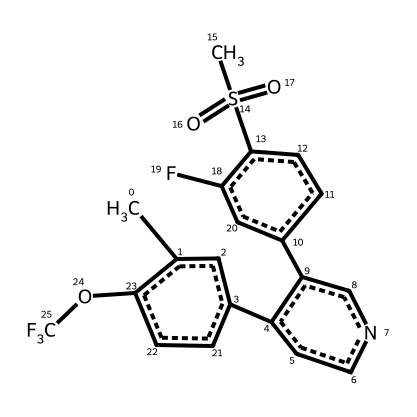 Cc1cc(-c2ccncc2-c2ccc(S(C)(=O)=O)c(F)c2)ccc1OC(F)(F)F